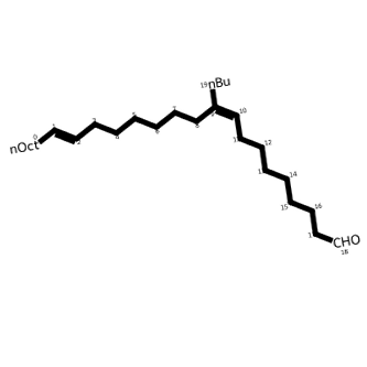 CCCCCCCC/C=C/CCCCCC/C(=C\CCCCCCCC=O)CCCC